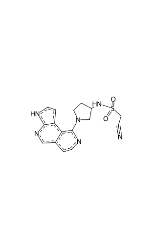 N#CCS(=O)(=O)NC1CCN(c2nccc3cnc4[nH]ccc4c23)C1